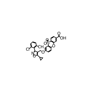 Cc1cccc(Cl)c1-c1noc(C2CC2)c1COc1ccc2c(c1)S(=O)(=O)c1ccc(C(=O)O)cc1O2